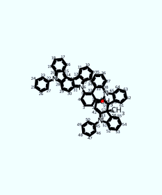 CC1CC=CC(n2c3ccccc3c3c4c5ccccc5n(-c5ccccc5)c4ccc32)=C1c1ccccc1N1C2=CC=C3N(c4ccccc4)c4ccccc4C3(C)C2c2ccccc21